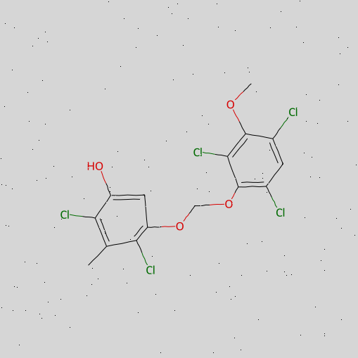 COc1c(Cl)cc(Cl)c(OCOc2cc(O)c(Cl)c(C)c2Cl)c1Cl